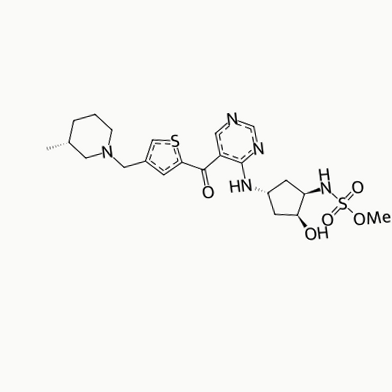 COS(=O)(=O)N[C@@H]1C[C@@H](Nc2ncncc2C(=O)c2cc(CN3CCC[C@@H](C)C3)cs2)C[C@@H]1O